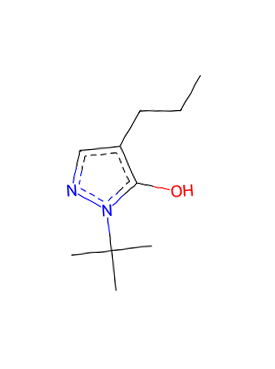 CCCc1cnn(C(C)(C)C)c1O